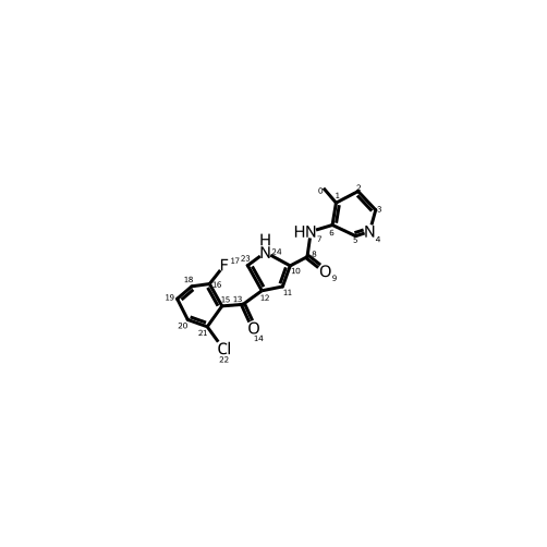 Cc1ccncc1NC(=O)c1cc(C(=O)c2c(F)cccc2Cl)c[nH]1